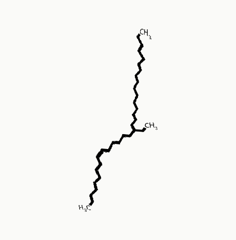 CCCCCCCC/C=C\CCCCCC(CC)CCCCCCCCCCCCCCCC